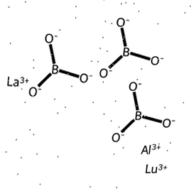 [Al+3].[La+3].[Lu+3].[O-]B([O-])[O-].[O-]B([O-])[O-].[O-]B([O-])[O-]